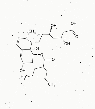 CCCC(CCC)C(=O)O[C@H]1C[C@H](O)C=C2C=C[C@H](C)[C@H](CC[C@@H](O)C[C@@H](O)CC(=O)O)[C@H]21